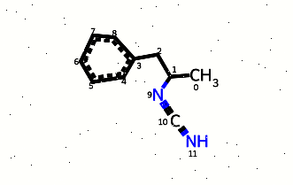 CC(Cc1ccccc1)N=C=N